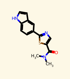 CN(C)C(=O)c1cnc(-c2ccc3[nH]ccc3c2)s1